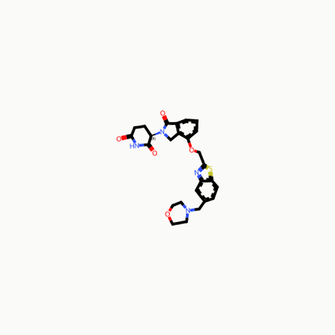 O=C1CC[C@@H](N2Cc3c(OCc4nc5cc(CN6CCOCC6)ccc5s4)cccc3C2=O)C(=O)N1